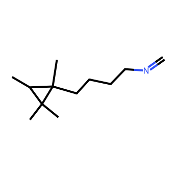 C=NCCCCC1(C)C(C)C1(C)C